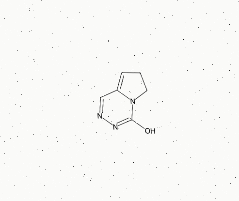 OC1=NN=CC2=CCCN21